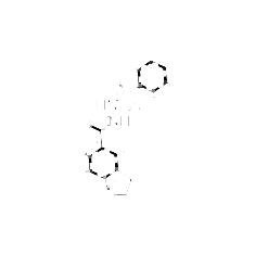 O=C(NNS(=O)(=O)c1ccccc1)c1ccc2c(c1)CCO2